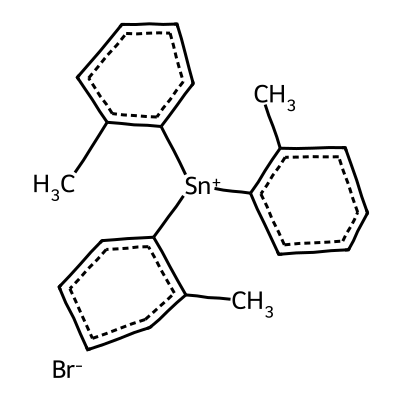 Cc1cccc[c]1[Sn+]([c]1ccccc1C)[c]1ccccc1C.[Br-]